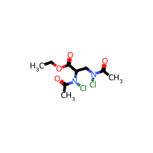 CCOC(=O)C(CN(Cl)C(C)=O)N(Cl)C(C)=O